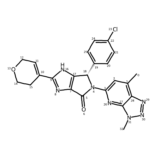 Cc1cc(N2C(=O)c3nc(C4=CCOCC4)[nH]c3[C@@H]2c2ccc(Cl)cc2)nc2c1nnn2C